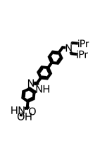 CC(C)CN(Cc1ccc(-c2ccc(-c3nc4ccc(C(=O)NO)cc4[nH]3)cc2)cc1)CC(C)C